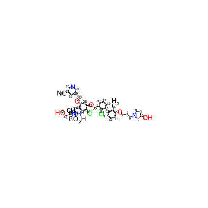 Cc1c(OCCCN2CCC(O)C2)cccc1-c1cccc(COc2cc(OCc3cncc(C#N)c3)c(CNC(C)(CO)C(=O)O)cc2Cl)c1Cl